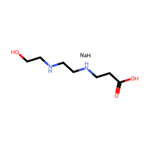 O=C(O)CCNCCNCCO.[NaH]